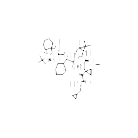 CC[C@@H]1C[C@@]1(NC(=O)[C@@H]1[C@@H]2[C@H](CN1C(=O)[C@@H](NC(=O)NC1(CS(=O)(=O)C(C)(C)C)CCCCC1)C1CCCCC1)C2(C)C)C(=O)C(=O)NCC1CC1